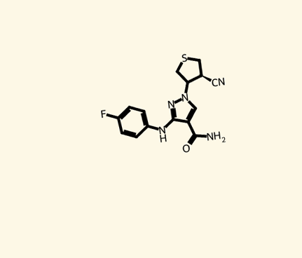 N#C[C@@H]1CSCC1n1cc(C(N)=O)c(Nc2ccc(F)cc2)n1